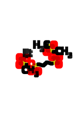 CCOS(=O)(=O)C(C)OS(=O)(=O)CCCCS(=O)(=O)OC(C)S(C)(=O)=O